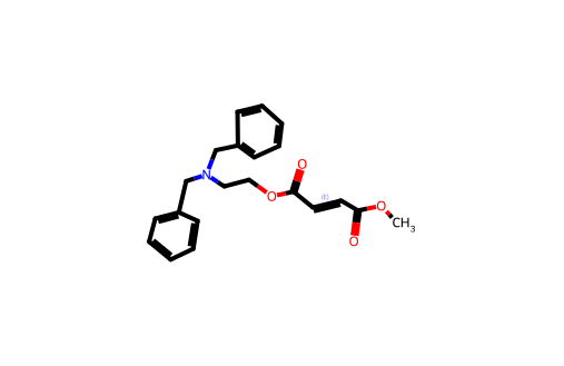 COC(=O)/C=C/C(=O)OCCN(Cc1ccccc1)Cc1ccccc1